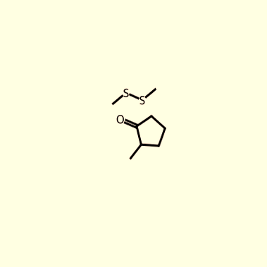 CC1CCCC1=O.CSSC